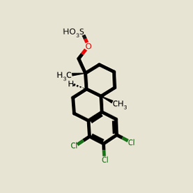 C[C@@]1(COS(=O)(=O)O)CCC[C@]2(C)c3cc(Cl)c(Cl)c(Cl)c3CC[C@@H]12